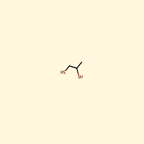 CC(S)CS